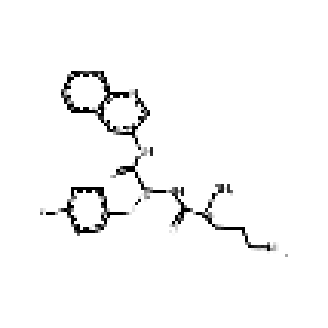 NCCC[C@H](N)C(=O)N[C@H](Cc1ccc(F)cc1)C(=O)Nc1cnc2ccccc2c1